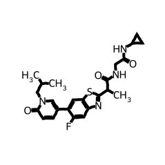 CC(C)Cn1cc(-c2cc3sc(C(C)C(=O)NCC(=O)NC4CC4)nc3cc2F)ccc1=O